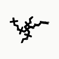 CCOC(C)(C)CC1(CC(C)(C)OCCC(C)(C)C)CC(C)(OCC)C1=NN=CN=[N+]=[N-]